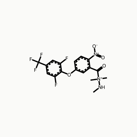 CN[N+](C)(C)C(=O)c1cc(Oc2c(F)cc(C(F)(F)F)cc2F)ccc1[N+](=O)[O-]